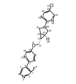 Fc1cnccc1-c1ccc(OC[C@@H]2C3CN(c4ncc(Cl)cn4)C[C@H]32)cn1